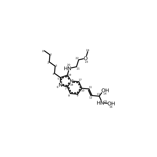 CCCCCc1nc2ccc(/C=C/C(O)NO)cn2c1NCCOC